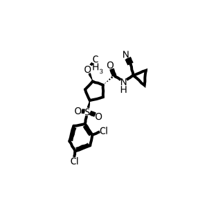 CO[C@@H]1C[C@H](S(=O)(=O)c2ccc(Cl)cc2Cl)C[C@H]1C(=O)NC1(C#N)CC1